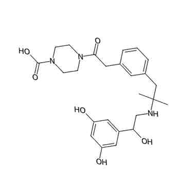 CC(C)(Cc1cccc(CC(=O)N2CCN(C(=O)O)CC2)c1)NCC(O)c1cc(O)cc(O)c1